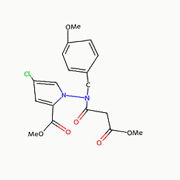 COC(=O)CC(=O)N(Cc1ccc(OC)cc1)n1cc(Cl)cc1C(=O)OC